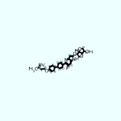 CN(C)CCOc1ccc(-c2ccc(-c3nc4cc(O[C@@H]5COC6[C@H](O)CO[C@@H]65)[nH]c4cc3F)cc2)cc1